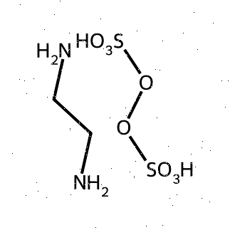 NCCN.O=S(=O)(O)OOS(=O)(=O)O